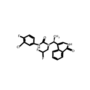 C[C@@H](c1c[nH]c(=O)c2ccccc12)N(CC(F)F)C(=O)Nc1ccc(F)c(Cl)c1